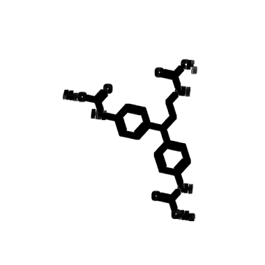 COC(=O)Nc1ccc(C(CCNC(=O)C(F)(F)F)c2ccc(NC(=O)OC)cc2)cc1